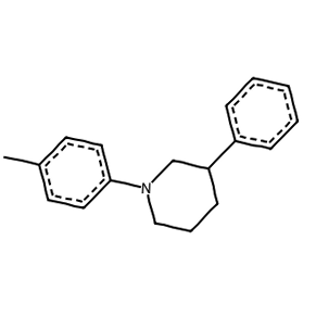 Cc1ccc(N2CCCC(c3ccccc3)C2)cc1